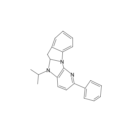 CC(C)N1c2ccc(-c3ccccc3)nc2N2c3ccccc3CC21